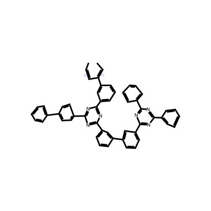 C/C=C\C(=C/C)c1cccc(-c2nc(-c3ccc(-c4ccccc4)cc3)nc(-c3cccc(-c4cccc(-c5nc(-c6ccccc6)nc(-c6ccccc6)n5)c4)c3)n2)c1